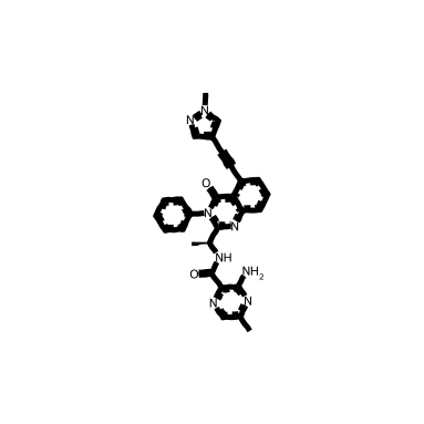 Cc1cnc(C(=O)N[C@@H](C)c2nc3cccc(C#Cc4cnn(C)c4)c3c(=O)n2-c2ccccc2)c(N)n1